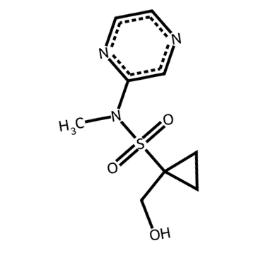 CN(c1cnccn1)S(=O)(=O)C1(CO)CC1